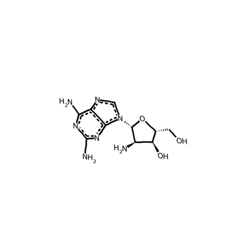 Nc1nc(N)c2ncn([C@@H]3O[C@H](CO)[C@@H](O)[C@H]3N)c2n1